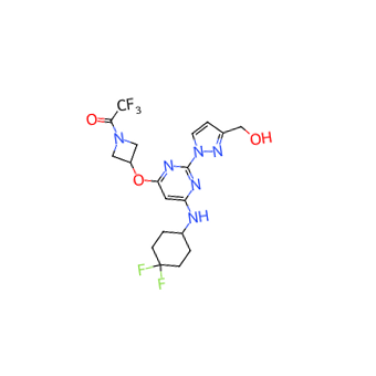 O=C(N1CC(Oc2cc(NC3CCC(F)(F)CC3)nc(-n3ccc(CO)n3)n2)C1)C(F)(F)F